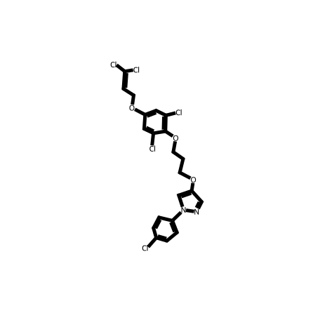 ClC(Cl)=CCOc1cc(Cl)c(OCCCOc2cnn(-c3ccc(Cl)cc3)c2)c(Cl)c1